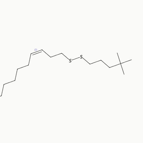 CCCCCC/C=C\CCSSCCCC(C)(C)C